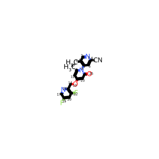 Cc1cnc(C#N)cc1-n1c(C)cc(OCc2ncc(F)cc2F)cc1=O